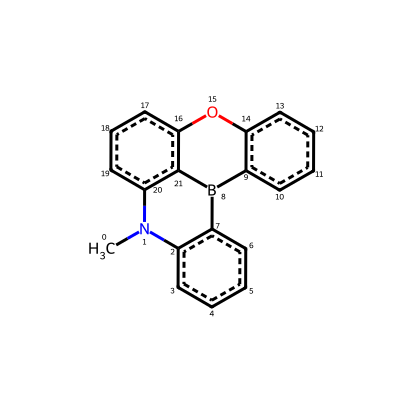 CN1c2ccccc2B2c3ccccc3Oc3cccc1c32